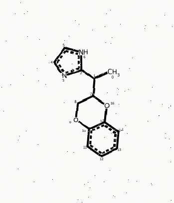 CC(c1ncc[nH]1)C1COc2ccccc2O1